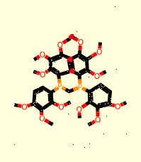 COc1ccc(P(CP(c2ccc(OC)c(OC)c2OC)c2ccc(OC)c(OC)c2OC)c2ccc(OC)c(OC)c2OC)c(OC)c1OC